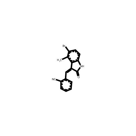 Cc1c(Br)ccc2c1C(=Cc1ccccc1C#N)C(=O)N2